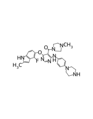 Cc1cc2c(F)c(Oc3ncnc(Nc4ccc(N5CCNCC5)cc4)c3C(=O)N3CCN(C)CC3)ccc2[nH]1